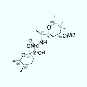 CO[C@@H]1C[C@@H]([C@H](C)NC(=O)[C@@H](O)[C@@]2(OC)CC[C@@H](C)[C@@H](C)O2)O[C@H](C)C1(C)C